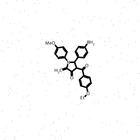 Bc1ccc(C2C(C(=O)c3ccc(OCC)cc3)C(=O)C(=C)N2c2ccc(OC)cc2)cc1